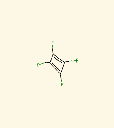 FC1=C(F)C(F)=C1F